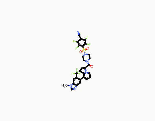 Cn1cnc2cc(-c3cccn4c(C(=O)N5CCN(S(=O)(=O)c6c(F)c(F)c(C#N)c(F)c6F)CC5)ccc34)c(C(F)(F)F)cc21